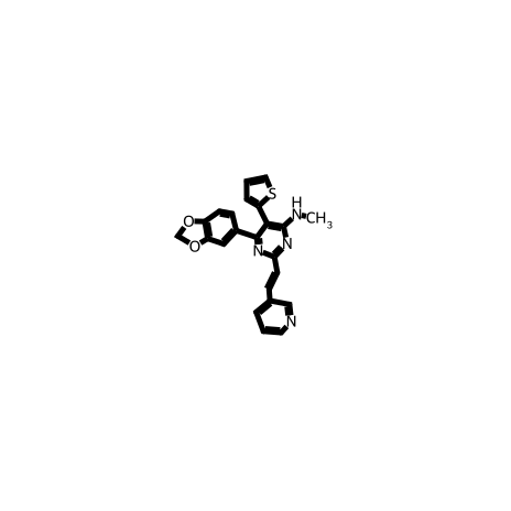 CNc1nc(C=Cc2cccnc2)nc(-c2ccc3c(c2)OCO3)c1-c1cccs1